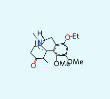 CCOc1cc(OC)c(OC)c2c1C[C@@H]1[C@@H]3CCC(=O)C(C)[C@]23CCN1C